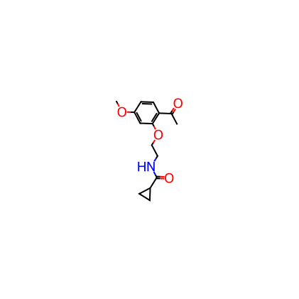 COc1ccc(C(C)=O)c(OCCNC(=O)C2CC2)c1